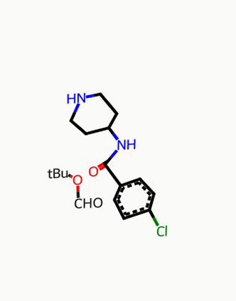 CC(C)(C)OC=O.O=C(NC1CCNCC1)c1ccc(Cl)cc1